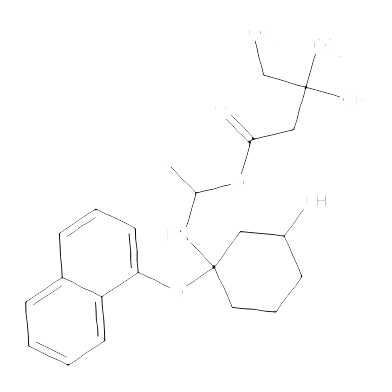 CCC(NC1(Oc2cccc3ccccc23)CCCC(C)C1)OC(=O)CC(O)(CC(=O)O)C(=O)O